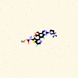 CN(C)[C@@]1(C)CCN(c2ncc3c4c(c(-c5ncc(F)c6sc(NC(=O)OC(C)(C)C)c(C#N)c56)c(F)c3n2)COC4)C1